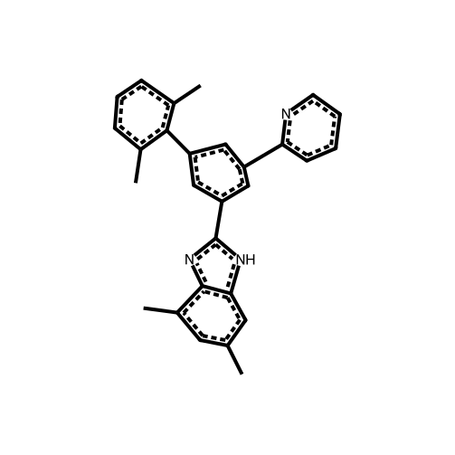 Cc1cc(C)c2nc(-c3cc(-c4ccccn4)cc(-c4c(C)cccc4C)c3)[nH]c2c1